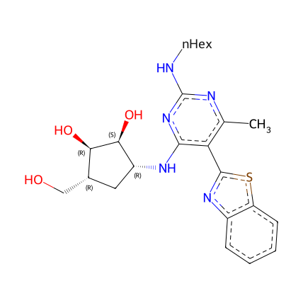 CCCCCCNc1nc(C)c(-c2nc3ccccc3s2)c(N[C@@H]2C[C@H](CO)[C@@H](O)[C@H]2O)n1